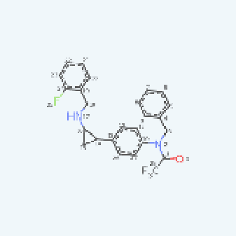 O=C(N(Cc1ccccc1)c1ccc(C2CC2NCc2ccccc2F)cc1)C(F)(F)F